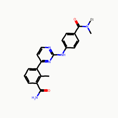 CCN(C)C(=O)c1ccc(Nc2nccc(-c3cccc(C(N)=O)c3C)n2)cc1